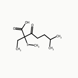 CCC(SC)(C(=O)O)C(=O)CCC(C)C